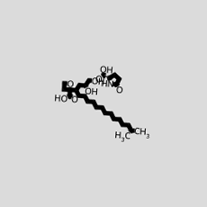 CC(C)CCCCCCCCCCCCC(CC(O)CO)C1(C(=O)O)CCO1.O=C1CC[C@@H](C(=O)O)N1